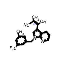 C/C(C#N)=C(\O)c1cn(Cc2cc(C)cc(C(F)(F)F)c2)c2ncccc12